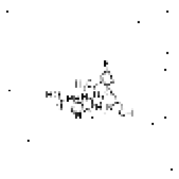 C[C@H](c1cc(F)ccc1OCC(N)CO)N1CCc2cn3ncc(NC(=O)O)c3nc21